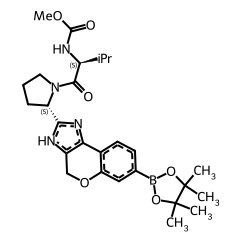 COC(=O)N[C@H](C(=O)N1CCC[C@H]1c1nc2c([nH]1)COc1cc(B3OC(C)(C)C(C)(C)O3)ccc1-2)C(C)C